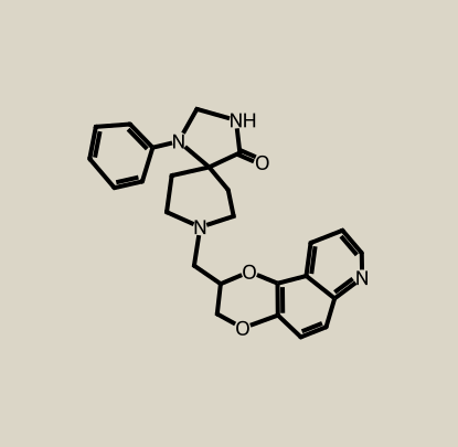 O=C1NCN(c2ccccc2)C12CCN(CC1COc3ccc4ncccc4c3O1)CC2